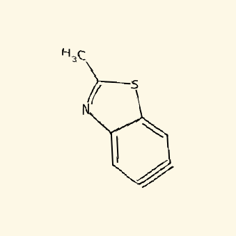 Cc1nc2cc#ccc2s1